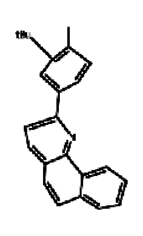 Cc1ccc(-c2ccc3ccc4ccccc4c3n2)cc1C(C)(C)C